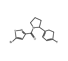 O=C(c1cc(Br)sn1)N1CCCC1C1=CC=C(F)CC1